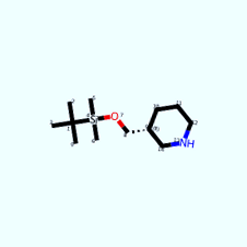 CC(C)(C)[Si](C)(C)OC[C@@H]1CCCNC1